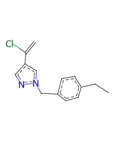 C=C(Cl)c1cnn(Cc2ccc(CC)cc2)c1